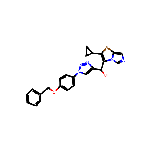 OC(c1cn(-c2ccc(OCc3ccccc3)cc2)nn1)c1c(C2CC2)sc2cncn12